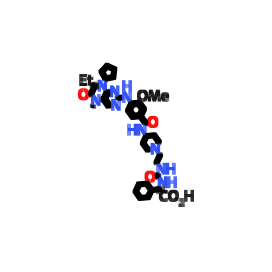 CC[C@@H]1C(=O)N(C)c2cnc(Nc3ccc(C(=O)NC4CCN(CCNC(=O)N[C@H](C(=O)O)C5CCCCC5)CC4)cc3OC)nc2N1C1CCCC1